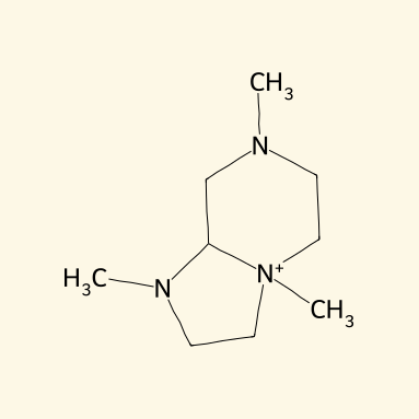 CN1CC[N+]2(C)CCN(C)C2C1